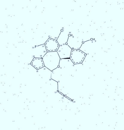 COc1cccc([C@H]2O[C@H](CCN=[N+]=[N-])c3cccn3-c3c(F)cc(Cl)cc32)c1OC